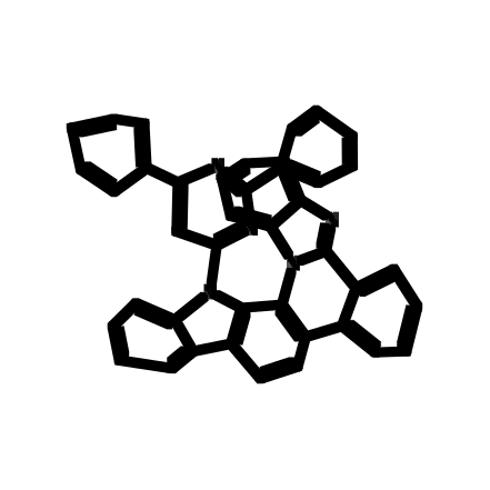 c1ccc(-c2cc(-n3c4ccccc4c4ccc5c6ccccc6c6nc7ccccc7n6c5c43)nc(-c3ccccc3)n2)cc1